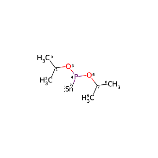 CC(C)O[P]([Sn])OC(C)C